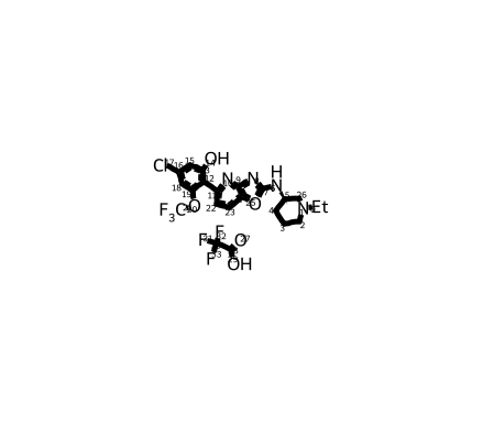 CCN1CCC[C@@H](Nc2nc3nc(-c4c(O)cc(Cl)cc4OC(F)(F)F)ccc3o2)C1.O=C(O)C(F)(F)F